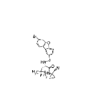 CC(C)(F)C[C@H](NSc1ccc2oc3cc(Br)ccc3c2c1)C(=O)NC1(C#N)CC1